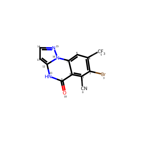 N#Cc1c(Br)c(C(F)(F)F)cc2c1c(=O)[nH]c1ccnn12